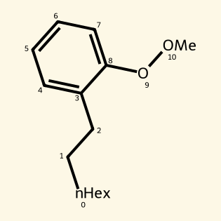 CCCCCCCCc1ccccc1OOC